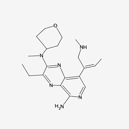 C/C=C(\CNC)c1cnc(N)c2nc(CC)c(N(C)C3CCOCC3)nc12